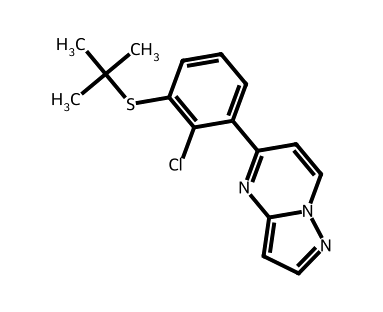 CC(C)(C)Sc1cccc(-c2ccn3nccc3n2)c1Cl